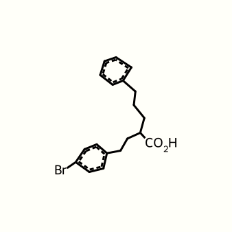 O=C(O)C(CCCc1ccccc1)CCc1ccc(Br)cc1